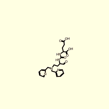 O=CC(CCN(Cc1ccccn1)Cc1ccccn1)NC(=O)NC(CCC(=O)O)C(=O)O